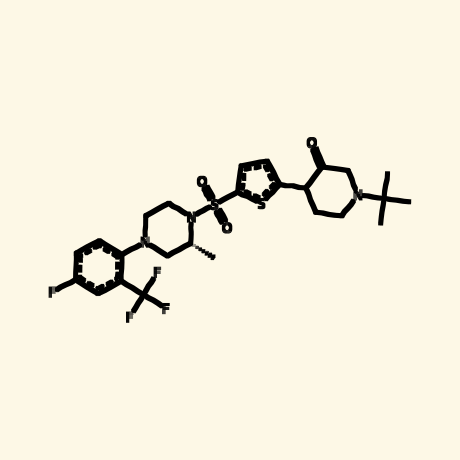 C[C@@H]1CN(c2ccc(F)cc2C(F)(F)F)CCN1S(=O)(=O)c1ccc(C2CCN(C(C)(C)C)CC2=O)s1